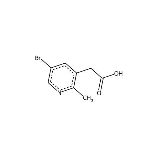 Cc1ncc(Br)cc1CC(=O)O